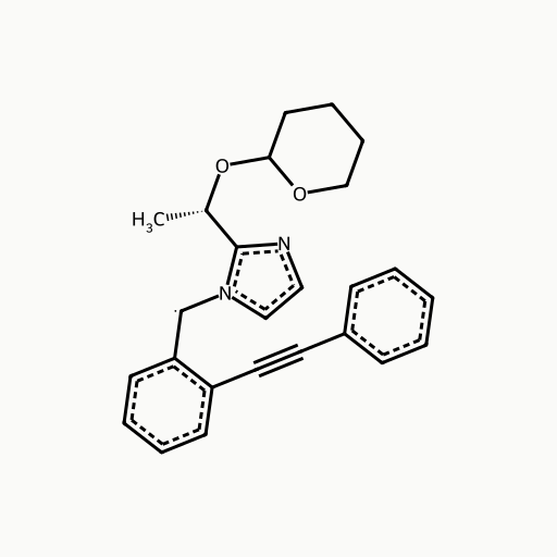 C[C@H](OC1CCCCO1)c1nccn1[CH]c1ccccc1C#Cc1ccccc1